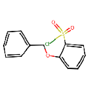 O=S(=O)(Cl)c1ccccc1OCc1ccccc1